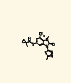 Cc1nnc(-n2c(=O)n(C)c3c(C(F)(F)F)cc(SNC4(C)CC4)cc32)s1